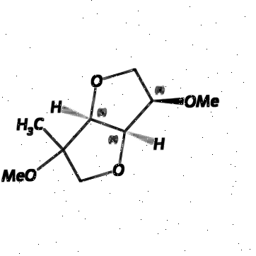 CO[C@@H]1CO[C@H]2[C@@H]1OCC2(C)OC